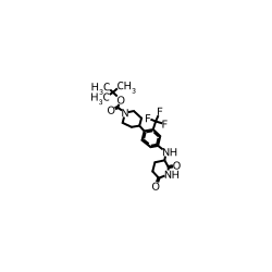 CC(C)(C)OC(=O)N1CCC(c2ccc(NC3CCC(=O)NC3=O)cc2C(F)(F)F)CC1